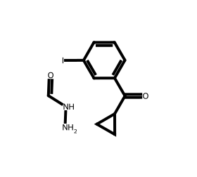 NNC=O.O=C(c1cccc(I)c1)C1CC1